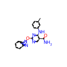 Cc1cccc(Nc2nc(On3c4c5cccc4n53)ncc2C(N)=O)c1